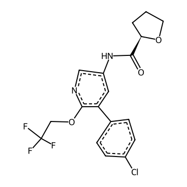 O=C(Nc1cnc(OCC(F)(F)F)c(-c2ccc(Cl)cc2)c1)[C@H]1CCCO1